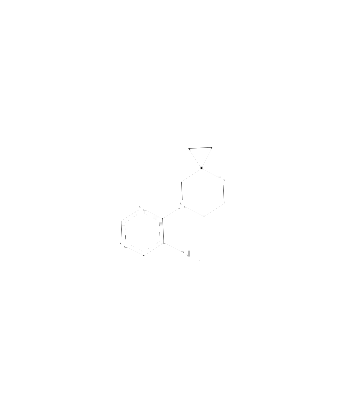 Nc1cncnc1N1CCNC2(CC2)C1